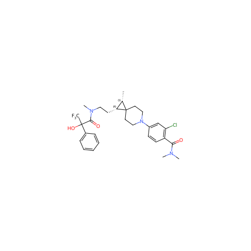 C[C@H]1[C@@H](CCN(C)C(=O)C(O)(c2ccccc2)C(F)(F)F)C12CCN(c1ccc(C(=O)N(C)C)c(Cl)c1)CC2